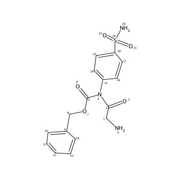 NCC(=O)N(C(=O)OCc1ccccc1)c1ccc(S(N)(=O)=O)cc1